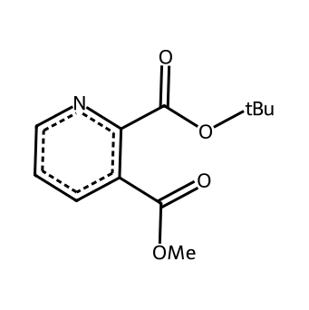 COC(=O)c1cccnc1C(=O)OC(C)(C)C